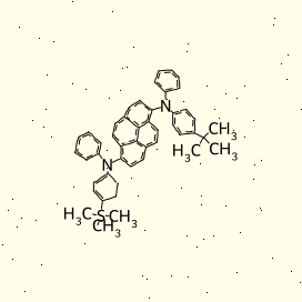 CC(C)(C)c1ccc(N(c2ccccc2)c2ccc3ccc4c(N(C5=CC=C(S(C)(C)C)CC5)c5ccccc5)ccc5ccc2c3c54)cc1